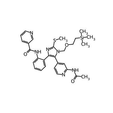 CSc1nc(-c2ccccc2NC(=O)c2cccnc2)c(-c2ccnc(NC(C)=O)c2)n1COCC[Si](C)(C)C